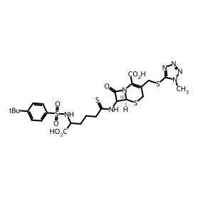 Cn1nnnc1SCC1=C(C(=O)O)N2C(=O)C(NC(=S)CCCC(NS(=O)(=O)c3ccc(C(C)(C)C)cc3)C(=O)O)[C@@H]2SC1